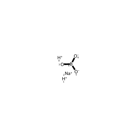 [H+].[H+].[Na+].[O-]B([O-])[O-]